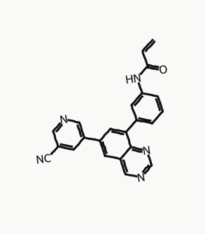 C=CC(=O)Nc1cccc(-c2cc(-c3cncc(C#N)c3)cc3cncnc23)c1